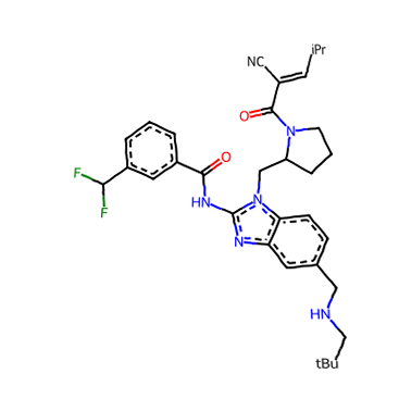 CC(C)C=C(C#N)C(=O)N1CCCC1Cn1c(NC(=O)c2cccc(C(F)F)c2)nc2cc(CNCC(C)(C)C)ccc21